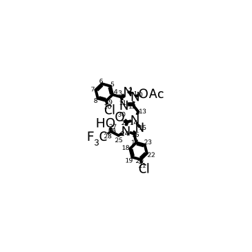 CC(=O)On1nc(-c2ccccc2Cl)nc1Cn1nc(-c2ccc(Cl)cc2)n(C[C@H](O)C(F)(F)F)c1=O